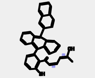 C=C(/C=C\C=C(/C)O)c1c(S)cccc1-c1c2ccccc2c(-c2ccc3ccccc3c2)c2ccccc12